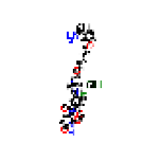 CC(N)c1cccc(OCCCCCCOCCN2CCN(c3cc4c(cc3F)C(=O)N(C3CCC(=O)NC3=O)C4=O)CC2)c1.Cl